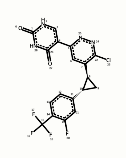 O=c1[nH]cc(-c2cc([C@H]3C[C@@H]3c3ccc(C(F)(F)F)c(F)c3)c(Cl)nn2)c(=O)[nH]1